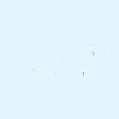 C[C@@H](O)C(=O)N1C[C@@H](F)[C@@H](Oc2ccc(-c3nccc(Nc4ccc(N5CCN(C6COC6)CC5)cc4)n3)cc2C#N)C[C@@H]1C